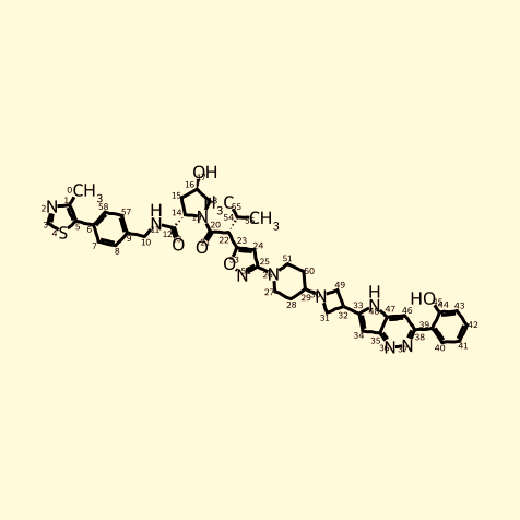 Cc1ncsc1-c1ccc(CNC(=O)[C@@H]2C[C@@H](O)CN2C(=O)[C@@H](c2cc(N3CCC(N4CC(c5cc6nnc(-c7ccccc7O)cc6[nH]5)C4)CC3)no2)C(C)C)cc1